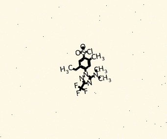 CCc1cc(S(=O)(=O)Cl)c(C)cc1-n1nc(C(F)(F)F)nc1N(C)C